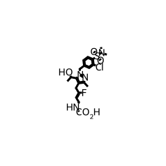 Cc1nn(Cc2ccc(S(=O)(=O)N(C)C)c(Cl)c2)c(C(C)O)c1CC(F)=CCNC(=O)O